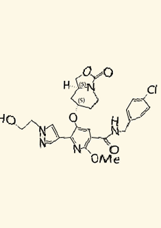 COc1nc(-c2cnn(CCO)c2)c(O[C@H]2CCN3C(=O)OC[C@@H]3C2)cc1C(=O)NCc1ccc(Cl)cc1